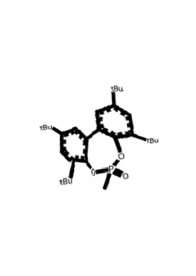 CC(C)(C)c1cc2c(c(C(C)(C)C)c1)OP(C)(=O)Oc1c-2cc(C(C)(C)C)cc1C(C)(C)C